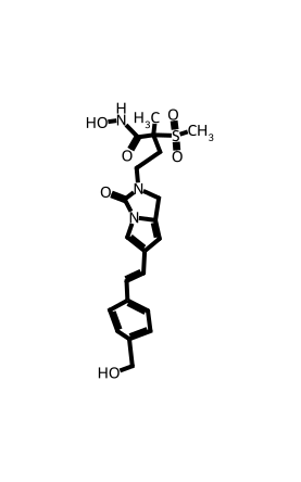 CC(CCN1Cc2cc(C=Cc3ccc(CO)cc3)cn2C1=O)(C(=O)NO)S(C)(=O)=O